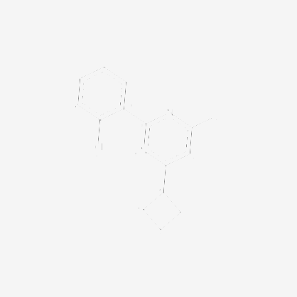 Clc1cc(C2CCC2)nc(-c2ccccc2Cl)n1